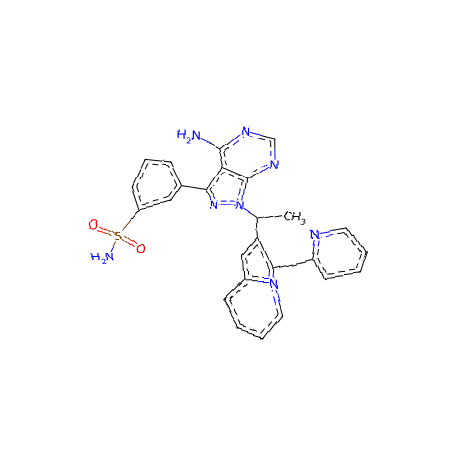 CC(c1cc2ccccn2c1-c1ccccn1)n1nc(-c2cccc(S(N)(=O)=O)c2)c2c(N)ncnc21